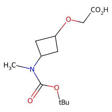 CN(C(=O)OC(C)(C)C)C1CC(OCC(=O)O)C1